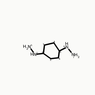 NNC1CCC(NN)CC1